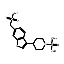 CNS(=O)(=O)Cc1ccc2c(C3CCN(P(=O)(OC)OC)CC3)c[nH]c2c1